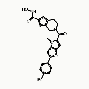 Cn1c(C(=O)N2CCc3cc(C(=O)NO)sc3C2)cc2oc(-c3ccc(C(C)(C)C)cc3)cc21